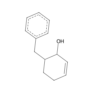 OC1C=CCCC1Cc1ccccc1